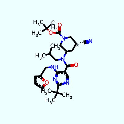 CC(C)CN(C(=O)c1cnc(C(C)(C)C)nc1NCc1ccco1)C1C[C@@H](C#N)CN(C(=O)OC(C)(C)C)C1